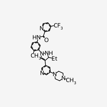 CCC1NN(c2cc(NC(=O)c3cc(C(F)(F)F)ccn3)ccc2C)C=C1c1cncc(N2CCN(C)CC2)c1